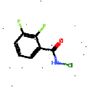 O=C(NCl)c1cccc(F)c1F